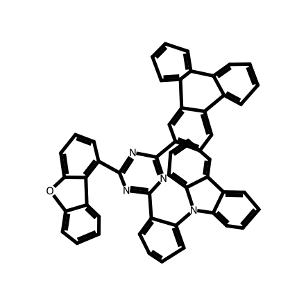 c1ccc(-n2c3ccccc3c3ccccc32)c(-c2nc(-c3ccc4c5ccccc5c5ccccc5c4c3)nc(-c3cccc4oc5ccccc5c34)n2)c1